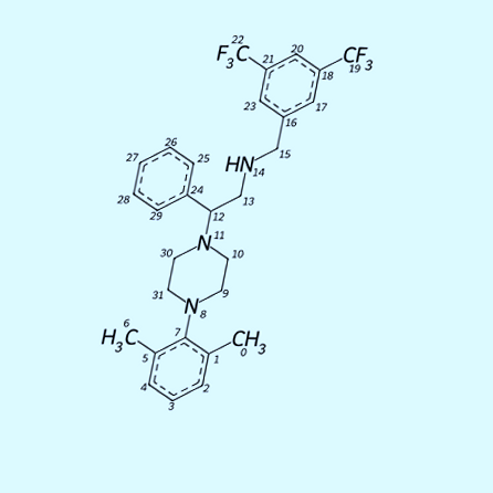 Cc1cccc(C)c1N1CCN(C(CNCc2cc(C(F)(F)F)cc(C(F)(F)F)c2)c2ccccc2)CC1